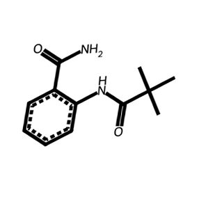 CC(C)(C)C(=O)Nc1ccccc1C(N)=O